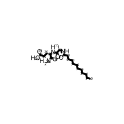 CCCCCCCCCCCC(=O)N[C@@H](C)C(=O)N[C@H](CCC(=O)O)C(N)=O